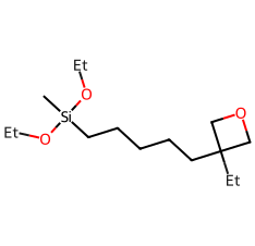 CCO[Si](C)(CCCCCC1(CC)COC1)OCC